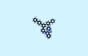 c1ccc(-c2ccc(-c3cc(-c4ccc(-c5ccccc5)cc4)cc(-c4cccc(-c5nc6ccccc6c6nc7ccccn7c56)c4)c3)cc2)cc1